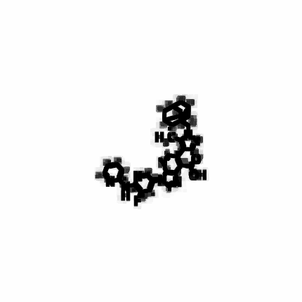 Cc1c(-c2cnc3c(ncn3-c3cnc(Nc4ccccn4)c(F)c3)c2C(=O)O)cnn1CC12CC3CC(CC(C3)C1)C2